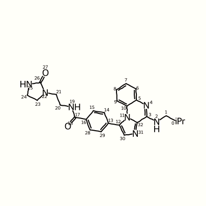 CC(C)CNc1nc2ccccc2n2c(-c3ccc(C(=O)NCCN4CCNC4=O)cc3)cnc12